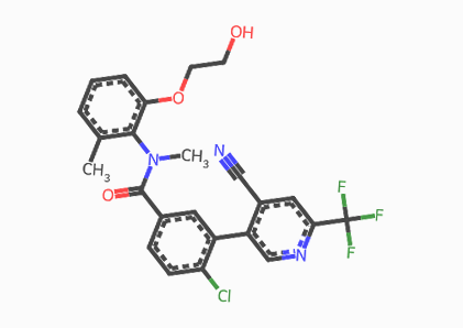 Cc1cccc(OCCO)c1N(C)C(=O)c1ccc(Cl)c(-c2cnc(C(F)(F)F)cc2C#N)c1